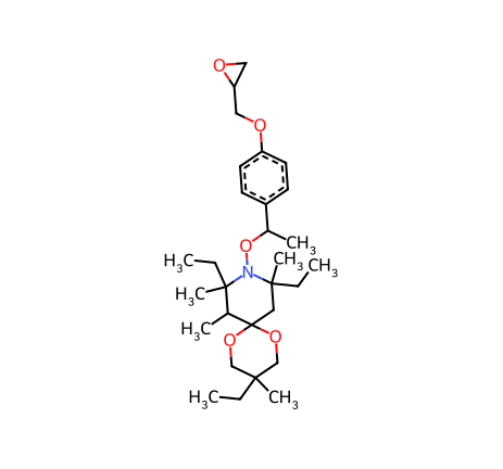 CCC1(C)COC2(CC(C)(CC)N(OC(C)c3ccc(OCC4CO4)cc3)C(C)(CC)C2C)OC1